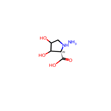 N.O=C(O)[C@H]1NCC(O)C1O